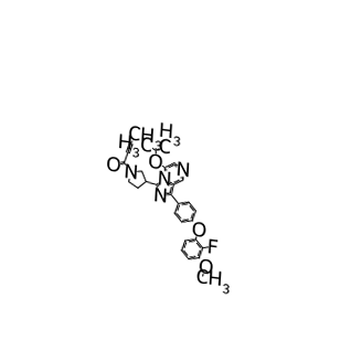 CC#CC(=O)N1CCC(c2nc(-c3ccc(Oc4cccc(OC)c4F)cc3)c3cncc(OC(C)C)n23)C1